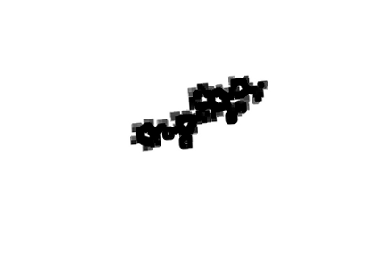 CN(C)C1CCN(c2cc3ncnc(Nc4ccc(OCc5ccccn5)c(Cl)c4)c3cc2[N+](=O)[O-])C1